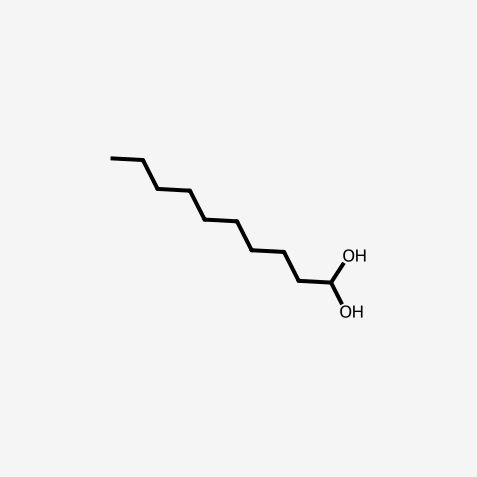 CCCCCCCCCC(O)O